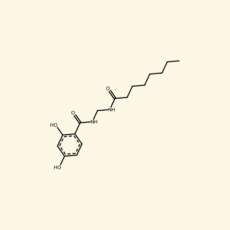 CCCCCCCC(=O)NCNC(=O)c1ccc(O)cc1O